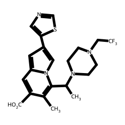 Cc1c(C(=O)O)cc2cc(-c3cncs3)cn2c1C(C)N1CCN(CC(F)(F)F)CC1